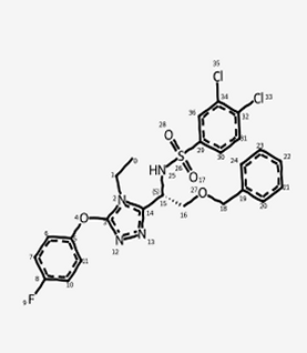 CCn1c(Oc2ccc(F)cc2)nnc1[C@@H](COCc1ccccc1)NS(=O)(=O)c1ccc(Cl)c(Cl)c1